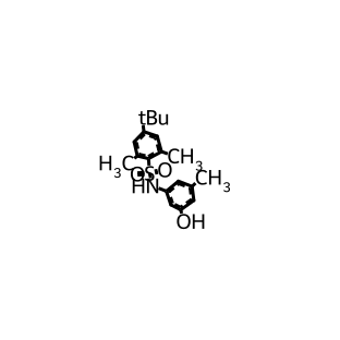 Cc1cc(O)cc(NS(=O)(=O)c2c(C)cc(C(C)(C)C)cc2C)c1